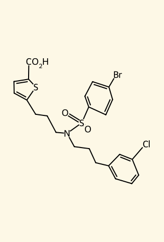 O=C(O)c1ccc(CCCN(CCCc2cccc(Cl)c2)S(=O)(=O)c2ccc(Br)cc2)s1